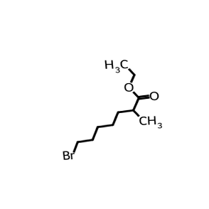 CCOC(=O)C(C)CCCCCBr